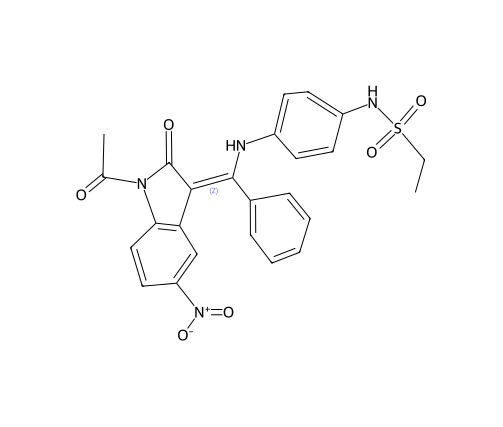 CCS(=O)(=O)Nc1ccc(N/C(=C2\C(=O)N(C(C)=O)c3ccc([N+](=O)[O-])cc32)c2ccccc2)cc1